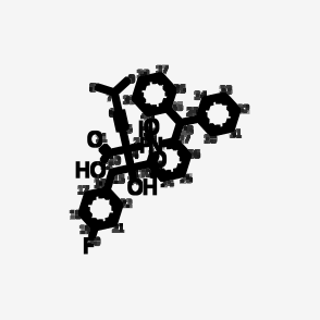 CO[PH](=O)C(C#CC(C)C)(C(=O)O)C(O)(Cc1ccc(F)cc1)c1cccc(C(c2ccccc2)c2ccccc2)n1